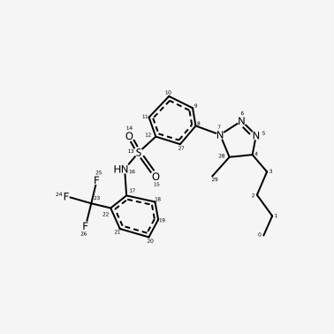 CCCCC1N=NN(c2cccc(S(=O)(=O)Nc3ccccc3C(F)(F)F)c2)C1C